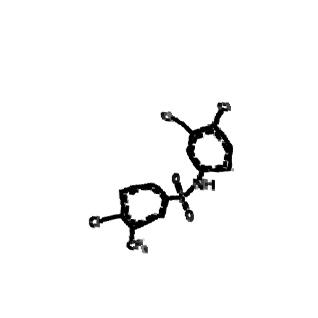 O=S(=O)(Nc1[c]cc(Cl)c(Cl)c1)c1ccc(Cl)c(C(F)(F)F)c1